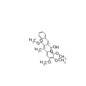 COC(=O)C(/C(=C\c1ccccc1)C(=O)O)=C(\C)c1cc(OC)c(OC)c(OC)c1